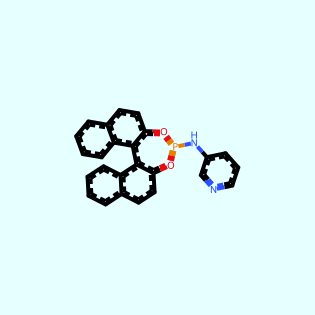 c1cncc(Np2oc3ccc4ccccc4c3c3c(ccc4ccccc43)o2)c1